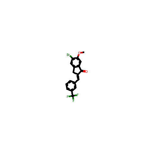 COc1cc2c(cc1Br)CC(=Cc1cccc(C(F)(F)F)c1)C2=O